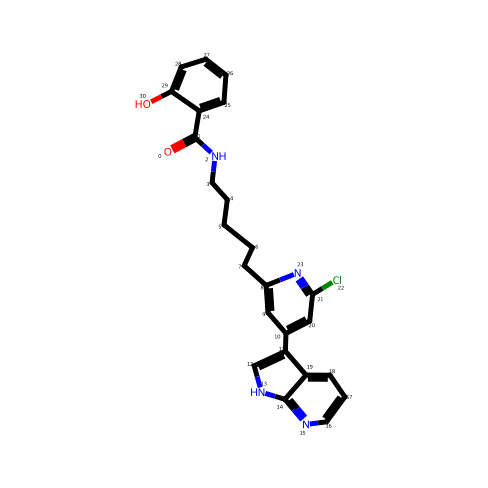 O=C(NCCCCCc1cc(-c2c[nH]c3ncccc23)cc(Cl)n1)c1ccccc1O